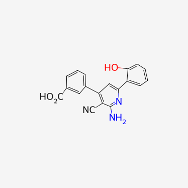 N#Cc1c(-c2cccc(C(=O)O)c2)cc(-c2ccccc2O)nc1N